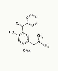 COc1cc(O)c(C(=O)c2ccccc2)cc1CN(C)C